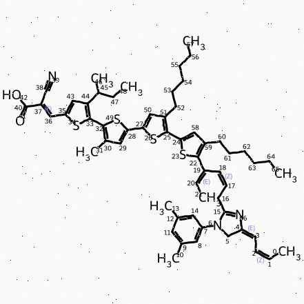 C/C=C\C=C1/CN(c2cc(C)cc(C)c2)C(C/C=C\C(=C/C)c2sc(-c3sc(-c4cc(C)c(-c5sc(/C=C(\C#N)C(=O)O)cc5C(C)CC)s4)cc3CCCCCC)cc2CCCCCC)=N1